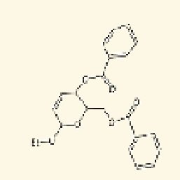 CCOC1C=CC(OC(=O)c2ccccc2)C(COC(=O)c2ccccc2)O1